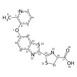 Cc1ncccc1Oc1ccc2nc(C3=NC(C(=O)O)CS3)sc2c1